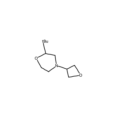 CC(C)(C)C1CN(C2COC2)CCO1